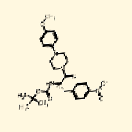 COc1ccc(N2CCN(C(=O)[C@H](Cc3ccc([N+](=O)[O-])cc3)NC(=O)OC(C)(C)C)CC2)cc1